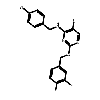 Fc1ccc(COc2ncc(F)c(NCc3ccc(Cl)cc3)n2)cc1F